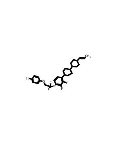 C/C=C/C1CCC(C2CCC(c3ccc(OC(F)(F)COc4ccc(CC)cc4)c(F)c3F)CC2)CC1